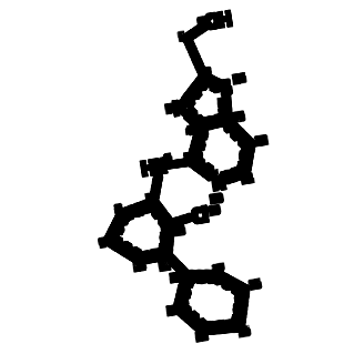 OCc1nc2c(Nc3cccc(-c4ccccc4)c3Cl)nccc2s1